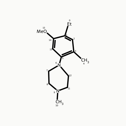 CCc1cc(C)c(N2CCN(C)CC2)cc1OC